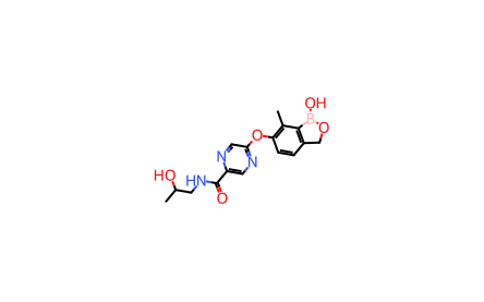 Cc1c(Oc2cnc(C(=O)NCC(C)O)cn2)ccc2c1B(O)OC2